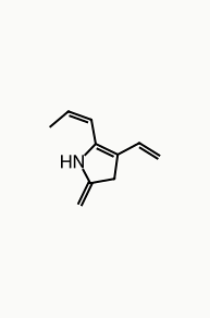 C=CC1=C(/C=C\C)NC(=C)C1